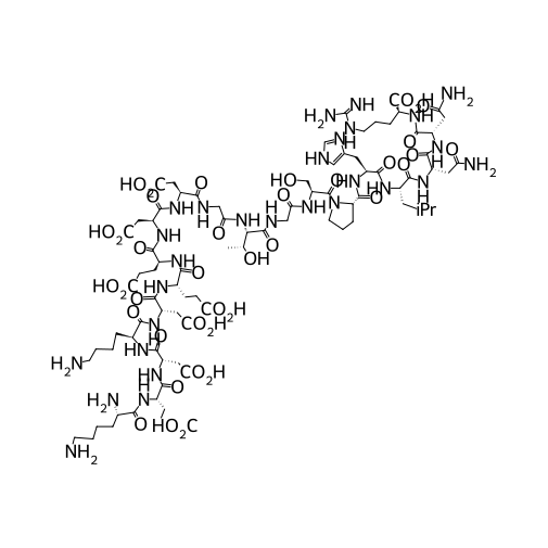 CC(C)C[C@H](NC(=O)[C@H](Cc1c[nH]cn1)NC(=O)[C@@H]1CCCN1C(=O)[C@H](CO)NC(=O)CNC(=O)[C@@H](NC(=O)CNC(=O)[C@H](CC(=O)O)NC(=O)[C@H](CC(=O)O)NC(=O)[C@H](CCC(=O)O)NC(=O)[C@H](CCC(=O)O)NC(=O)[C@H](CC(=O)O)NC(=O)[C@H](CCCCN)NC(=O)[C@H](CC(=O)O)NC(=O)[C@H](CC(=O)O)NC(=O)[C@@H](N)CCCCN)[C@@H](C)O)C(=O)N[C@@H](CC(N)=O)C(=O)N[C@@H](CC(N)=O)C(=O)N[C@@H](CCCNC(=N)N)C(=O)O